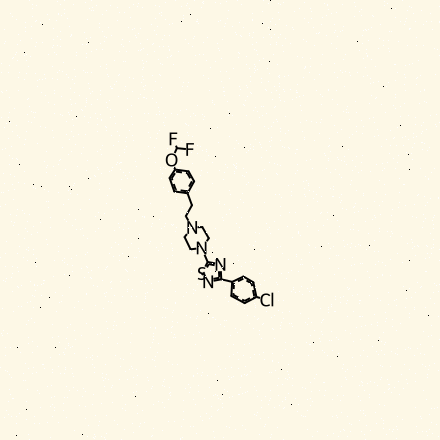 FC(F)Oc1ccc(CCN2CCN(c3nc(-c4ccc(Cl)cc4)ns3)CC2)cc1